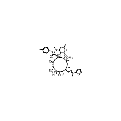 CC[C@H]1OC(=O)[C@H](C)[C@@H](OC(=O)Cc2ccc(C)cc2)[C@H](C)[C@@H](OC2OC(C)CC(N(C)C)C2O)[C@](C)(OC)C[C@@H](C)/C(=N\N=C(/C)c2ccco2)[C@H](C)[C@@H](O)[C@]1(C)O